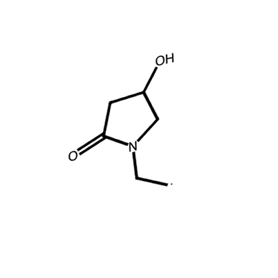 [CH2]CN1CC(O)CC1=O